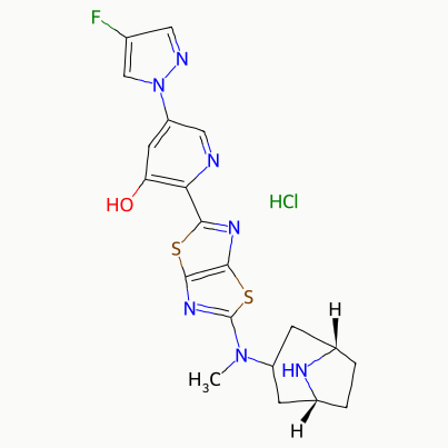 CN(c1nc2sc(-c3ncc(-n4cc(F)cn4)cc3O)nc2s1)C1C[C@H]2CC[C@@H](C1)N2.Cl